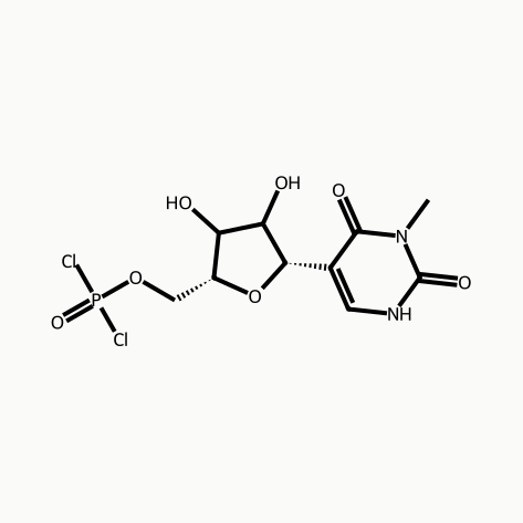 Cn1c(=O)[nH]cc([C@@H]2O[C@H](COP(=O)(Cl)Cl)C(O)C2O)c1=O